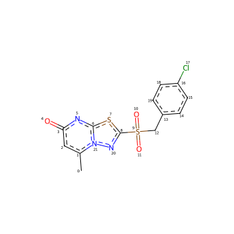 Cc1cc(=O)nc2sc(S(=O)(=O)Cc3ccc(Cl)cc3)nn12